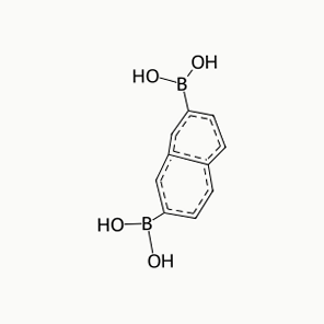 OB(O)c1ccc2ccc(B(O)O)cc2c1